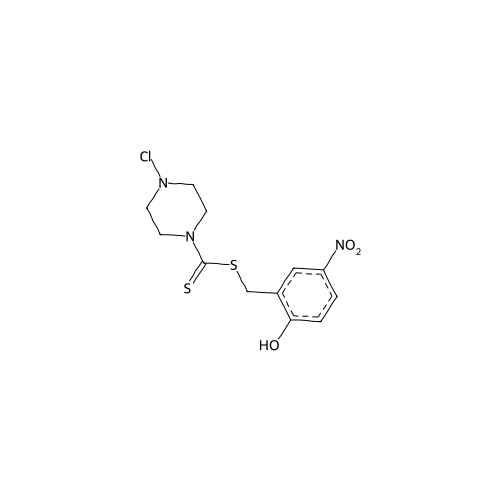 O=[N+]([O-])c1ccc(O)c(CSC(=S)N2CCN(Cl)CC2)c1